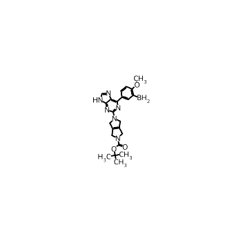 Bc1cc(-c2nc(N3CC4=C(CN(C(=O)OC(C)(C)C)C4)C3)nc3[nH]cnc23)ccc1OC